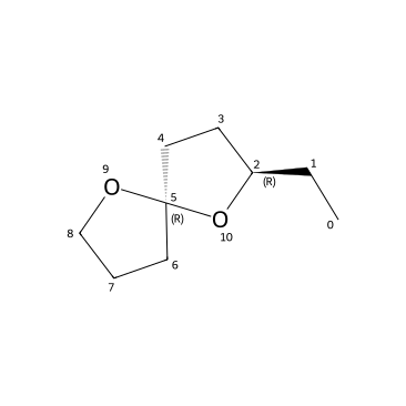 CC[C@@H]1CC[C@@]2(CCCO2)O1